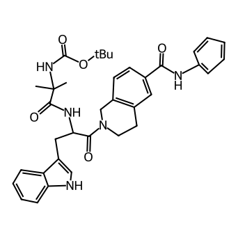 CC(C)(C)OC(=O)NC(C)(C)C(=O)NC(Cc1c[nH]c2ccccc12)C(=O)N1CCc2cc(C(=O)Nc3ccccc3)ccc2C1